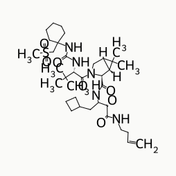 C=CCCNC(=O)C(=O)C(CC1CCC1)NC(=O)[C@@H]1[C@@H]2[C@H](CN1C(=O)[C@@H](NC(=O)NC1(CS(C)(=O)=O)CCCCC1)C(C)(C)C)C2(C)C